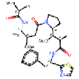 CC[C@H](C)[C@H](NC(=O)[C@@H](NC)C(C)C)[C@@H](CC(=O)N1CCC[C@H]1[C@H](OC)[C@@H](C)C(=O)N[C@@H](Cc1ccccc1)c1nccs1)OC